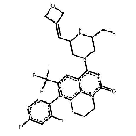 CCC1CN(c2nc(=O)n3c4c(c(-c5ccc(F)cc5F)c(C(F)(F)F)cc24)SCC3)CC(C=C2COC2)N1